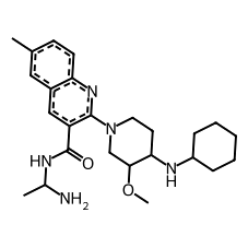 COC1CN(c2nc3ccc(C)cc3cc2C(=O)NC(C)N)CCC1NC1CCCCC1